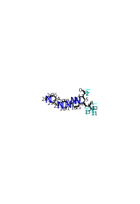 C=C(F)/C(C)=C/C(=C\C(=C)C(F)(F)F)c1ccc(N2CCN(CC3CCCN(C)C3)CC2)nn1